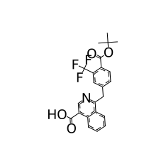 CC(C)(C)OC(=O)c1ccc(Cc2ncc(C(=O)O)c3ccccc23)cc1C(F)(F)F